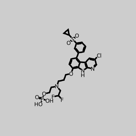 O=P(O)(O)OCCN(CCCOc1ccc(-c2cccc(S(=O)(=O)C3CC3)c2)c2c1[nH]c1ncc(Cl)cc12)CC(F)F